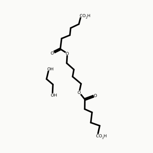 O=C(O)CCCCC(=O)OCCCCOC(=O)CCCCC(=O)O.OCCO